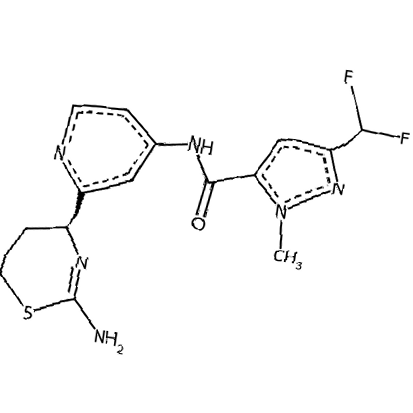 Cn1nc(C(F)F)cc1C(=O)Nc1ccnc([C@@H]2CCSC(N)=N2)c1